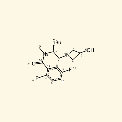 CCCC[C@@H](CN1CC(O)C1)N(C)C(=O)c1cc(F)ccc1F